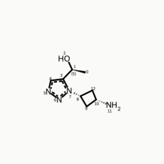 C[C@H](O)c1cnnn1[C@H]1C[C@@H](N)C1